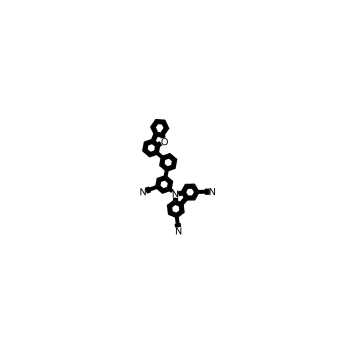 N#Cc1cc(-c2cccc(-c3cccc4c3oc3ccccc34)c2)cc(-n2c3ccc(C#N)cc3c3cc(C#N)ccc32)c1